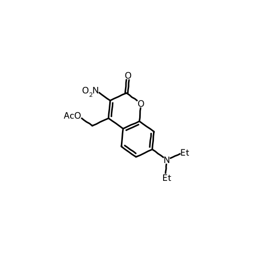 CCN(CC)c1ccc2c(COC(C)=O)c([N+](=O)[O-])c(=O)oc2c1